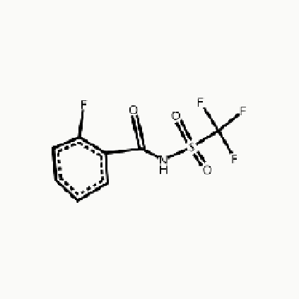 O=C(NS(=O)(=O)C(F)(F)F)c1ccccc1F